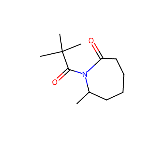 CC1CCCCC(=O)N1C(=O)C(C)(C)C